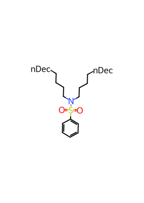 CCCCCCCCCCCCCCN(CCCCCCCCCCCCCC)S(=O)(=O)c1ccccc1